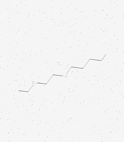 CCCCCCCCCCCCNCCNCC(=O)[O-].[Na+]